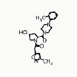 Cc1cc(CC(=O)N2C[C@H](O)C[C@H]2C(=O)N2CCN(c3ccccc3C)CC2)on1